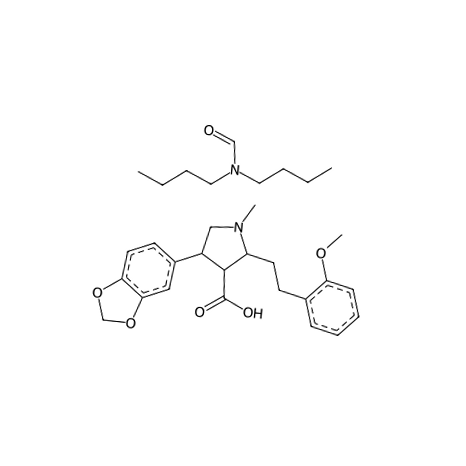 CCCCN(C=O)CCCC.COc1ccccc1CCC1C(C(=O)O)C(c2ccc3c(c2)OCO3)CN1C